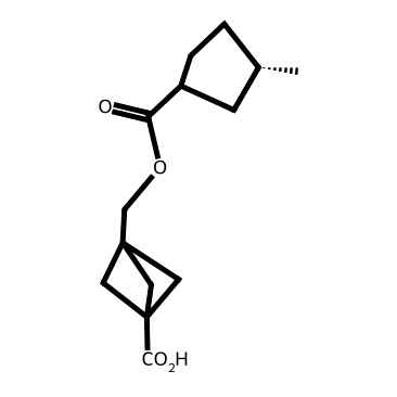 C[C@H]1CCC(C(=O)OCC23CC(C(=O)O)(C2)C3)C1